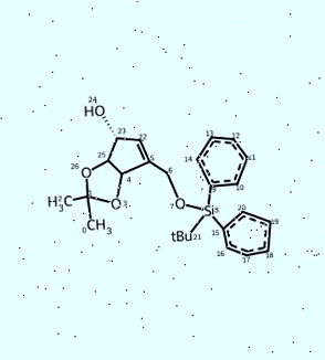 CC1(C)OC2C(CO[Si](c3ccccc3)(c3ccccc3)C(C)(C)C)=C[C@@H](O)C2O1